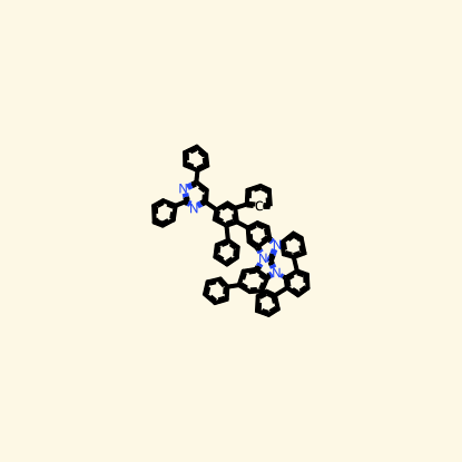 c1ccc(-c2ccc3c(c2)n2c4cc(-c5c(-c6ccccc6)cc(-c6cc(-c7ccccc7)nc(-c7ccccc7)n6)cc5-c5ccccc5)ccc4nc2n3-c2c(-c3ccccc3)cccc2-c2ccccc2)cc1